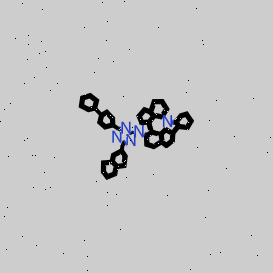 c1ccc(-c2ccc(-c3nc(-c4ccc5ccccc5c4)nc(-n4c5ccc6cccc7c6c5c5c6c(ccc8c9ccccc9n7c86)ccc54)n3)cc2)cc1